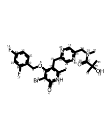 Cc1[nH]c(=O)c(Br)c(OCc2ccc(F)cc2F)c1Cc1cnc(CN(C)C(=O)C(C)(C)O)cn1